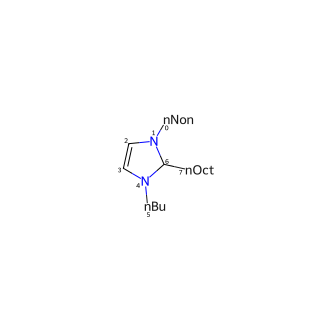 CCCCCCCCCN1C=CN(CCCC)C1CCCCCCCC